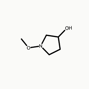 CON1CCC(O)C1